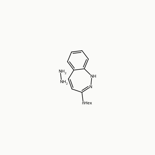 CCCCCCC1=NNc2ccccc2C=C1.NN